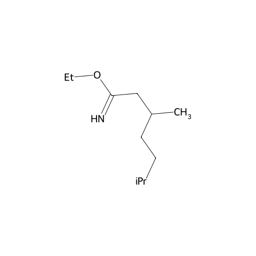 CCOC(=N)CC(C)CCC(C)C